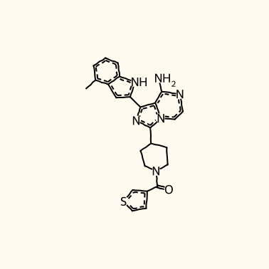 Cc1cccc2[nH]c(-c3nc(C4CCN(C(=O)c5ccsc5)CC4)n4ccnc(N)c34)cc12